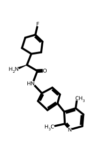 Cc1ccnc(C)c1-c1ccc(NC(=O)[C@@H](N)C2CC=C(F)CC2)cc1